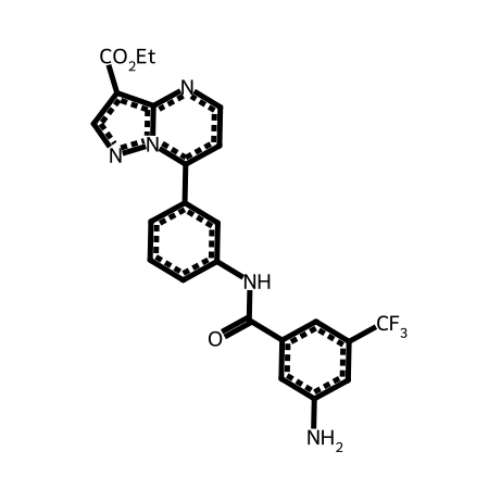 CCOC(=O)c1cnn2c(-c3cccc(NC(=O)c4cc(N)cc(C(F)(F)F)c4)c3)ccnc12